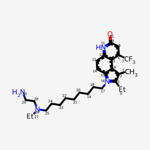 CCc1c(C)c2c3c(C(F)(F)F)cc(=O)[nH]c3ccc2n1CCCCCCCCCN(CC)CCN